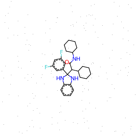 O=C(NC1CCCCC1)C(C1CCCCC1)C1(c2cc(F)cc(F)c2)Nc2ccccc2N1